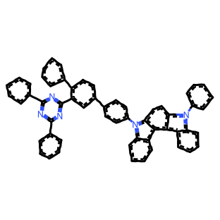 c1ccc(-c2nc(-c3ccccc3)nc(-c3cc(-c4ccc(-n5c6ccccc6c6c7c8ccccc8n(-c8ccccc8)c7ccc65)cc4)ccc3-c3ccccc3)n2)cc1